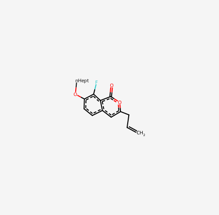 C=CCc1cc2ccc(OCCCCCCC)c(F)c2c(=O)o1